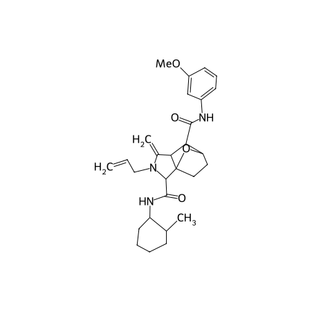 C=CCN1C(=C)C2C(C(=O)Nc3cccc(OC)c3)C3CCC2(O3)C1C(=O)NC1CCCCC1C